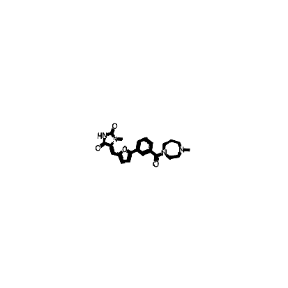 CN1CCCN(C(=O)c2cccc(-c3ccc(C=C4C(=O)NC(=O)N4C)o3)c2)CC1